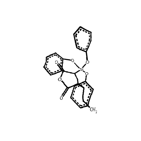 CCCC1C(=O)OC(=O)C1[Si](Oc1ccccc1)(Oc1ccccc1)Oc1ccccc1